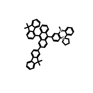 CN1c2ccccc2[Si]2(CCCC2)c2ccc(-c3c4ccccc4c(-c4cccc5c4-c4ccccc4C5(C)C)c4cc(-c5ccc6c(c5)C(C)(C)c5ccccc5-6)ccc34)cc21